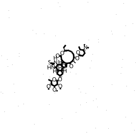 CC[C@H]1CCC[C@H](O[C@H]2CC[C@H](N(C)C)C(C)O2)[C@@H](C)C(=O)C2=C[C@H]3[C@@H]4C[C@H](O[C@@H]5OC(C)[C@H](OC)C(OC)C5OC)C[C@H]4c4[nH]c(=S)[nH]c4[C@H]3[C@@H]2CC(=O)O1